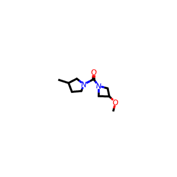 COC1CN(C(=O)N2CCC(C)C2)C1